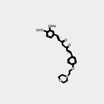 COc1cc(/C=C/C(=O)CC(=O)/C=C/c2ccc(OCCN3CCOCC3)cc2)ccc1C=O